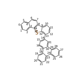 c1ccc2c(c1)ccc1c3cccc(-c4ccc5c6ccccc6c6ccccc6c5c4)c3sc21